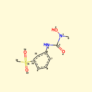 CN(O)C(=O)Nc1cccc(S(C)(=O)=O)c1